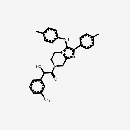 Cc1ccc(Nc2c(-c3ccc(F)cc3)nc3n2CCN(C(=O)C(O)c2cccc(C(F)(F)F)c2)C3)cc1